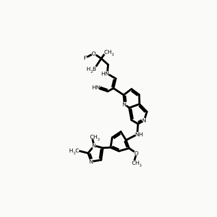 BC(C)(CN/C=C(\C=N)c1ccc2cnc(Nc3ccc(-c4cnc(C)n4C)cc3OC)cc2n1)OF